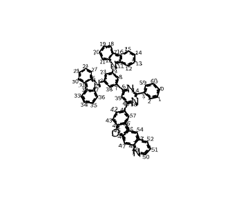 c1ccc(-c2nc(-c3cc(-n4c5ccccc5c5ccccc54)cc(-n4c5ccccc5c5ccccc54)c3)cc(-c3ccc4oc5cc6ncccc6cc5c4c3)n2)cc1